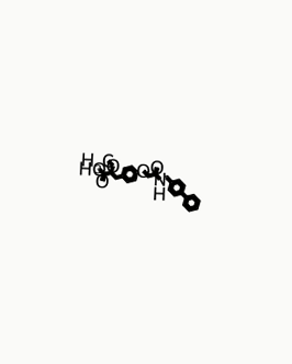 COC(Cc1ccc(OCC(=O)NCc2ccc(-c3ccccc3)cc2)cc1)C(=O)O